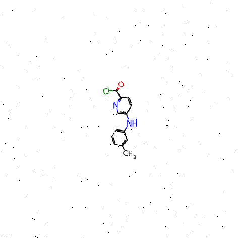 O=C(Cl)c1ccc(Nc2cccc(C(F)(F)F)c2)cn1